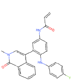 C=CC(=O)Nc1ccc(Nc2ccc(F)cc2)c(-c2cn(C)c(=O)c3ccccc23)c1